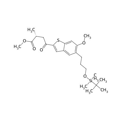 COC(=O)[C@H](C)CC(=O)c1cc2cc(CCCO[Si](C)(C)C(C)(C)C)c(OC)cc2s1